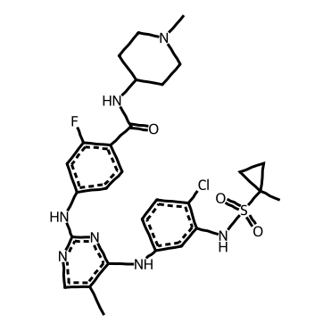 Cc1cnc(Nc2ccc(C(=O)NC3CCN(C)CC3)c(F)c2)nc1Nc1ccc(Cl)c(NS(=O)(=O)C2(C)CC2)c1